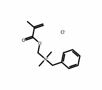 C=C(C)C(=O)OC[N+](C)(C)Cc1ccccc1.[Cl-]